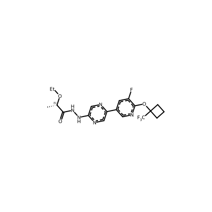 CCO[C@@H](C)C(=O)NNc1cnc(-c2cnc(OC3(C(F)(F)F)CCC3)c(F)c2)cn1